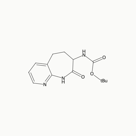 CC(C)(C)OC(=O)NC1CCc2cccnc2NC1=O